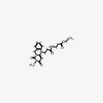 CCOC(=O)CCNC(=O)CCNc1cc(=O)n(C)c(=O)n1Cc1ccccc1